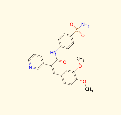 COc1ccc(C=C(C(=O)Nc2ccc(S(N)(=O)=O)cc2)c2cccnc2)cc1OC